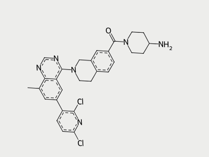 Cc1cc(-c2ccc(Cl)nc2Cl)cc2c(N3CCc4ccc(C(=O)N5CCC(N)CC5)cc4C3)ncnc12